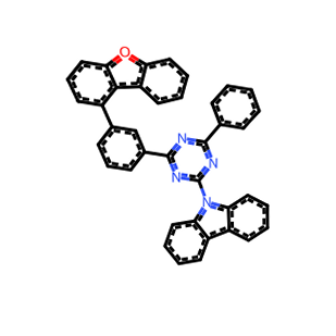 c1ccc(-c2nc(-c3cccc(-c4cccc5oc6ccccc6c45)c3)nc(-n3c4ccccc4c4ccccc43)n2)cc1